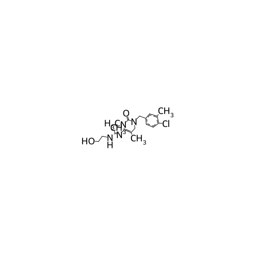 CC1=C(/N=C(\C)NCCO)N(C)C(=O)N(Cc2ccc(Cl)c(C)c2)C1